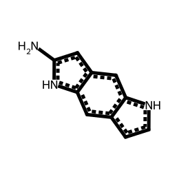 Nc1cc2cc3[nH]ccc3cc2[nH]1